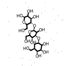 OCC1O[C@@H](O)C(O)[C@@H](O)[C@@H]1O[C@@H]1OC(CO)[C@H](O)[C@H](O[C@@H]2CC(CO)[C@H](O)[C@H](O)C2O)C1O